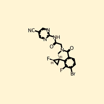 N#Cc1cnc(NC(=O)CN2C[C@@]3(C[C@H]3F)c3c(ccc(Br)c3F)C2=O)nc1